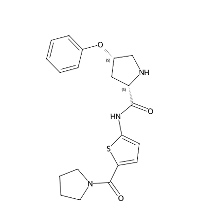 O=C(Nc1ccc(C(=O)N2CCCC2)s1)[C@@H]1C[C@H](Oc2ccccc2)CN1